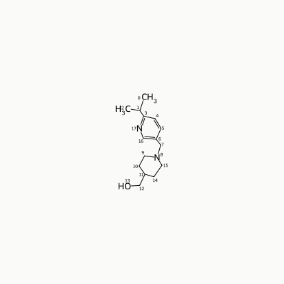 CC(C)c1ccc(CN2CCC(CO)CC2)cn1